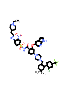 CCN1CCC(CCNc2ccc(S(=O)(=O)NC(=O)c3ccc(N4CCN(CC5=C(c6ccc(C(F)(F)F)cc6Cl)CC(C)(C)CC5)CC4)cc3Oc3cnc4[nH]ccc4c3)cc2[N+](=O)[O-])CC1